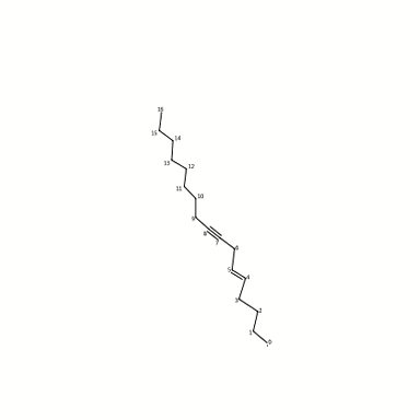 [CH2]CCCC=CCC#CCCCCCCCC